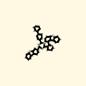 c1ccc(-c2ccc(-c3nc(-c4ccc5c(c4)oc4ccccc45)nc(-c4cccnc4-c4cccc5oc6ccccc6c45)n3)cc2)cc1